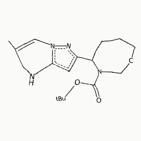 CC1=Cn2nc(C3CCCCCN3C(=O)OC(C)(C)C)cc2NC1